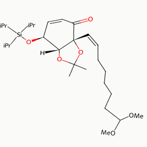 COC(CCCCC/C=C\[C@@]12OC(C)(C)O[C@@H]1[C@@H](O[Si](C(C)C)(C(C)C)C(C)C)C=CC2=O)OC